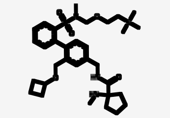 CNC1(C(=O)NCc2ccc(-c3ccccc3S(=O)(=O)N(C)COCC[Si](C)(C)C)c(COC3CCC3)c2)CCCC1